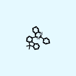 CC1(C)c2ccccc2-c2c(-c3nc(-c4ccccc4)nc4ccccc34)cccc21